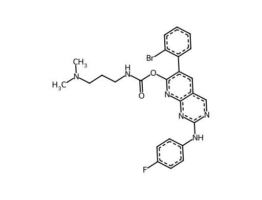 CN(C)CCCNC(=O)Oc1nc2nc(Nc3ccc(F)cc3)ncc2cc1-c1ccccc1Br